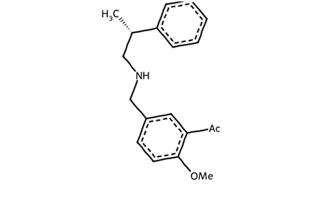 COc1ccc(CNC[C@H](C)c2ccccc2)cc1C(C)=O